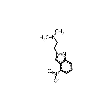 CN(C)CCn1cc2c([N+](=O)[O-])cccc2n1